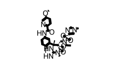 CCN(C[C@H]1[C@@](C)(c2cc(NC(=O)c3ccc(OC)cn3)ccc2F)NC(=N)N(C)S1(=O)=O)S(=O)(=O)c1cn(C)cn1